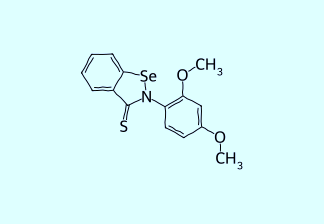 COc1ccc(-n2[se]c3ccccc3c2=S)c(OC)c1